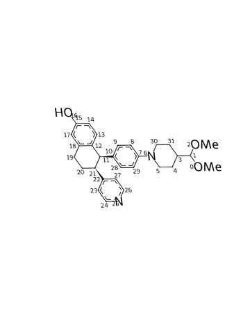 COC(OC)C1CCN(c2ccc([C@@H]3c4ccc(O)cc4CC[C@@H]3c3ccncc3)cc2)CC1